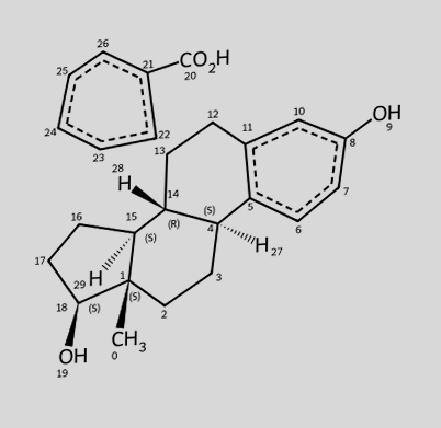 C[C@]12CC[C@@H]3c4ccc(O)cc4CC[C@H]3[C@@H]1CC[C@@H]2O.O=C(O)c1ccccc1